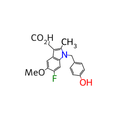 COc1cc2c(CC(=O)O)c(C)n(Cc3ccc(O)cc3)c2cc1F